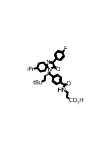 CC(C)C1CCC2(CC1)N=C(c1ccc(F)cc1)C(=O)N2[C@H](CCC(C)(C)C)c1ccc(C(=O)NCCC(=O)O)cc1